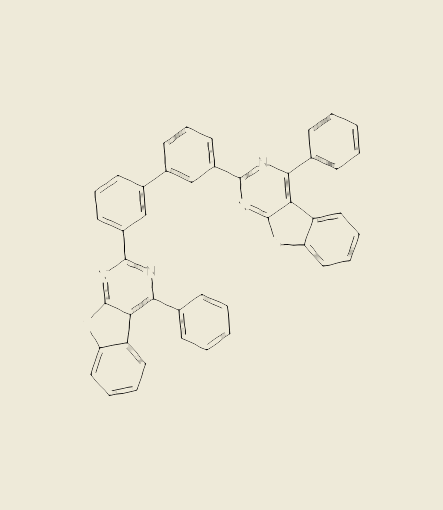 c1ccc(-c2nc(-c3cccc(-c4cccc(-c5nc(-c6ccccc6)c6c(n5)sc5ccccc56)c4)c3)nc3oc4ccccc4c23)cc1